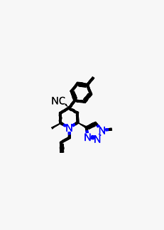 C=CCN1[C@@H](C)C[C@@](C#N)(c2ccc(C)cc2)C[C@H]1c1cn(C)nn1